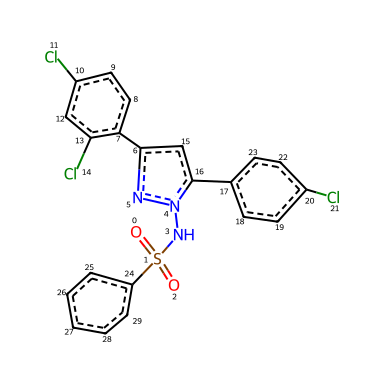 O=S(=O)(Nn1nc(-c2ccc(Cl)cc2Cl)cc1-c1ccc(Cl)cc1)c1ccccc1